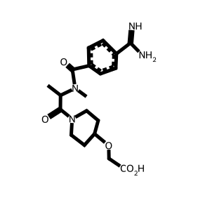 CC(C(=O)N1CCC(OCC(=O)O)CC1)N(C)C(=O)c1ccc(C(=N)N)cc1